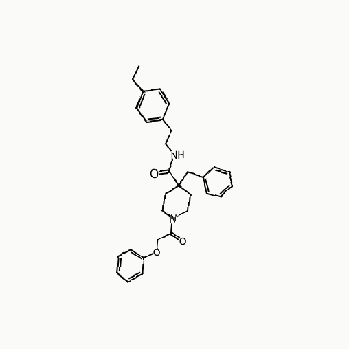 CCc1ccc(CCNC(=O)C2(Cc3ccccc3)CCN(C(=O)COc3ccccc3)CC2)cc1